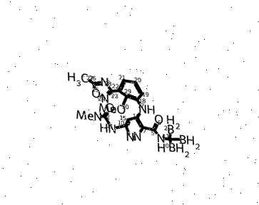 BC(B)(B)NC(=O)c1nnc(NC(=O)NC)cc1Nc1cccc(-c2noc(C)n2)c1OC